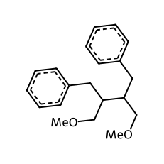 COCC(Cc1ccccc1)C(COC)Cc1ccccc1